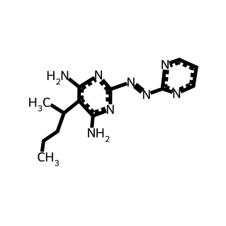 CCCC(C)c1c(N)nc(N=Nc2ncccn2)nc1N